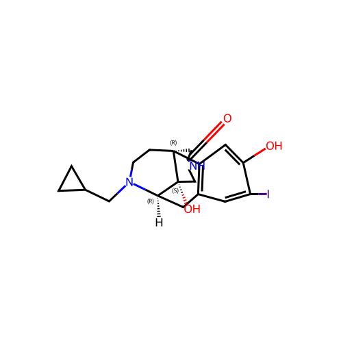 O=C1C[C@]23CCN(CC4CC4)[C@H](Cc4cc(I)c(O)cc42)[C@]3(O)CCN1